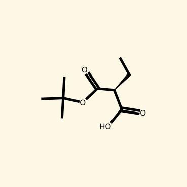 CC[C@@H](C(=O)O)C(=O)OC(C)(C)C